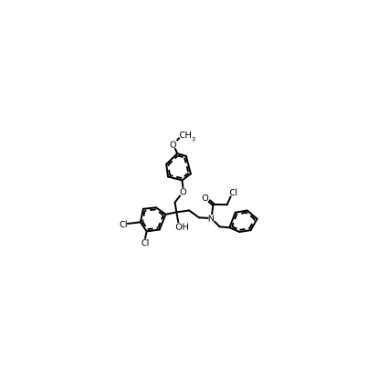 COc1ccc(OCC(O)(CCN(Cc2ccccc2)C(=O)CCl)c2ccc(Cl)c(Cl)c2)cc1